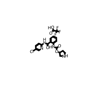 O=C(Nc1ccccc1C(=O)Nc1ccc(Cl)cn1)OC1CCNC1.O=C(O)C(F)(F)F